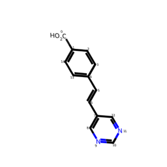 O=C(O)c1ccc(/C=C/c2cncnc2)cc1